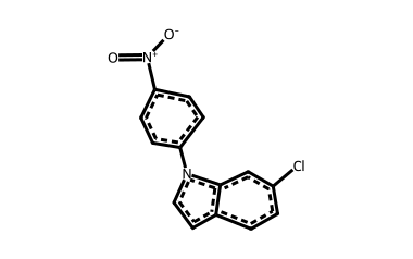 O=[N+]([O-])c1ccc(-n2ccc3ccc(Cl)cc32)cc1